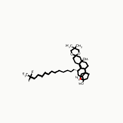 CC1(C)COC2(CCC3=C4C(CCC3(O)C2)C23CCC(O)(CC2)[C@@]3(C)C[C@@H]4CCCCCCCCC[CH]CCC(F)(F)C(F)(F)F)OC1